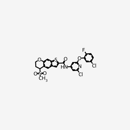 CS(=O)(=O)C1CCOc2cc3sc(C(=O)Nc4cc(Cl)nc(Oc5cc(Cl)ccc5F)c4)cc3cc21